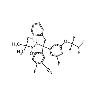 CC(C)(C)[S@@+]([O-])N[C@](Cc1ccccc1)(c1cc(F)cc(OC(F)(F)C(F)F)c1)c1ccc(F)c(C#N)c1